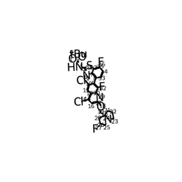 CC(C)(C)OC(=O)Nc1nc2c(-c3c(Cl)cc4c(Cl)cc(OC[C@@]56CCCN5C[C@H](F)C6)nc4c3F)ccc(F)c2s1